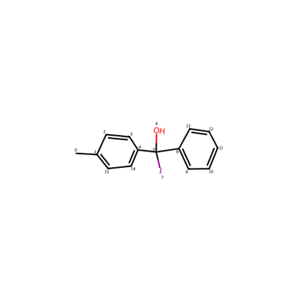 Cc1ccc(C(O)(I)c2ccccc2)cc1